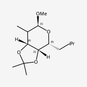 CO[C@H]1O[C@H](CC(C)C)[C@@H]2OC(C)(C)O[C@@H]2C1C